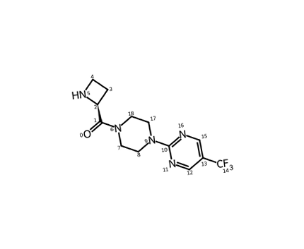 O=C([C@@H]1CCN1)N1CCN(c2ncc(C(F)(F)F)cn2)CC1